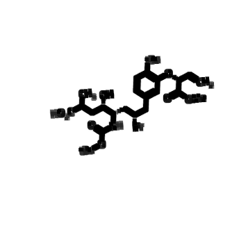 C=C[C@@H](Oc1cc(C[C@@H](C[C@H](NC(=O)OC(C)(C)C)[C@@H](O)CC(C)C(=O)O)C(C)C)ccc1C(C)(C)C)C(=O)OC